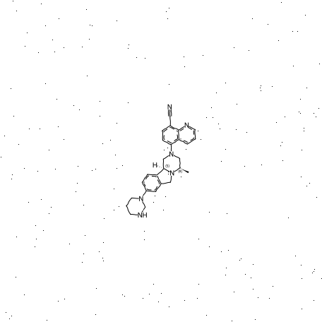 C[C@@H]1CN(c2ccc(C#N)c3ncccc23)C[C@@H]2c3ccc(N4CCCNC4)cc3CN12